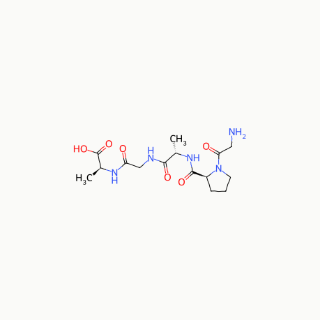 C[C@H](NC(=O)CNC(=O)[C@H](C)NC(=O)[C@@H]1CCCN1C(=O)CN)C(=O)O